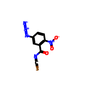 [N-]=[N+]=Nc1ccc([N+](=O)[O-])c(C(=O)N=C=S)c1